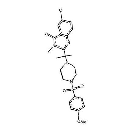 COc1ccc(S(=O)(=O)N2CCN(C(C)(C)c3nc4ccc(Cl)cc4c(=O)n3C)CC2)cc1